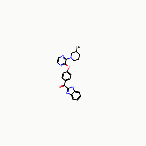 N#C[C@H]1CCCN(c2nccnc2Oc2ccc(C(=O)c3nc4ccccc4[nH]3)cc2)C1